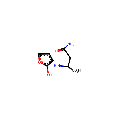 NC(=O)CC(N)C(=O)O.Oc1ccco1